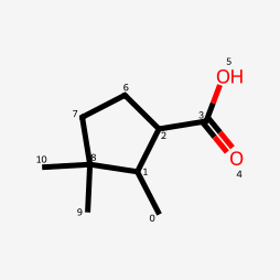 CC1C(C(=O)O)CCC1(C)C